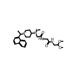 COC(CNC(=O)CNC(=O)CN(SC)C1CCN(C(C)c2cccc3ccccc23)CC1)OC